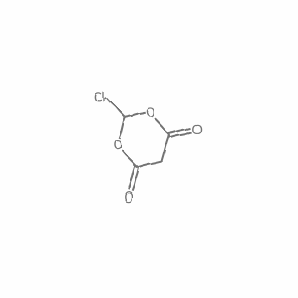 O=C1CC(=O)OC(Cl)O1